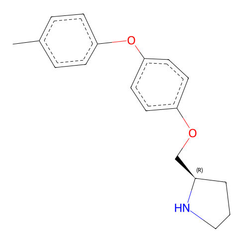 Cc1ccc(Oc2ccc(OC[C@H]3CCCN3)cc2)cc1